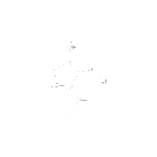 CCOC1C(O)COC1C(C)C(C)C